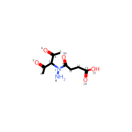 CC(=O)C(C(C)=O)N(N)C(=O)CCC(=O)O